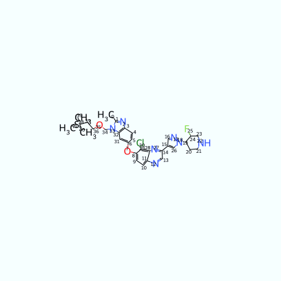 Cc1nc2ccc(Oc3ccc4ncc(-c5cnn([C@H]6CCNC[C@@H]6F)c5)nc4c3Cl)cc2n1COCC[Si](C)(C)C